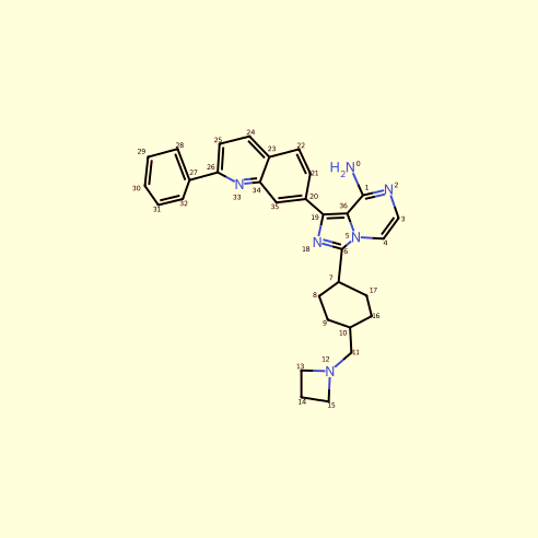 Nc1nccn2c(C3CCC(CN4CCC4)CC3)nc(-c3ccc4ccc(-c5ccccc5)nc4c3)c12